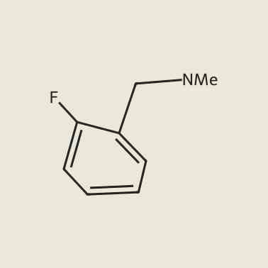 CNCc1ccccc1F